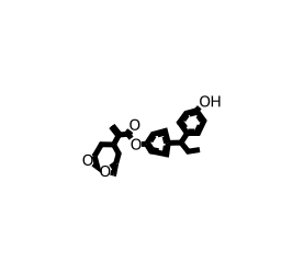 C=C(C(=O)Oc1ccc(C(CC)c2ccc(O)cc2)cc1)C(CC1CO1)CC1CO1